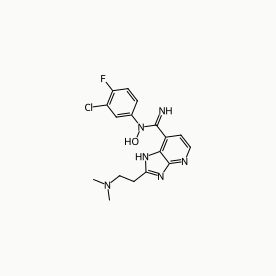 CN(C)CCc1nc2nccc(C(=N)N(O)c3ccc(F)c(Cl)c3)c2[nH]1